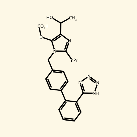 CCCc1nc(C(C)O)c(OC(=O)O)n1Cc1ccc(-c2ccccc2-c2nnn[nH]2)cc1